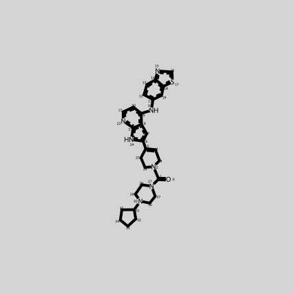 O=C(N1CC=C(c2cc3c(Nc4ccc5ncsc5c4)ccnc3[nH]2)CC1)N1CCN(C2CCCC2)CC1